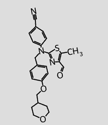 Cc1sc(N(Cc2ccc(OCC3CCOCC3)cc2)c2ccc(C#N)cc2)nc1C=O